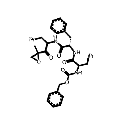 CC(C)CC(NC(=O)OCc1ccccc1)C(=O)N[C@@H](Cc1ccccc1)C(=O)NC(CC(C)C)C(=O)C1(C)CO1